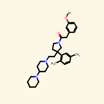 Cc1ccc(C)c(C2(CCN3CCC(N4CCCCC4)CC3)CCN(C(=O)Cc3cccc(OC(C)C)c3)C2)c1